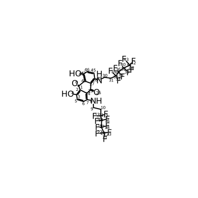 O=C1c2c(O)ccc(NCCC(F)(F)C(F)(F)C(F)(F)C(F)(F)F)c2C(=O)c2c(NCCC(F)(F)C(F)(F)C(F)(F)C(F)(F)F)ccc(O)c21